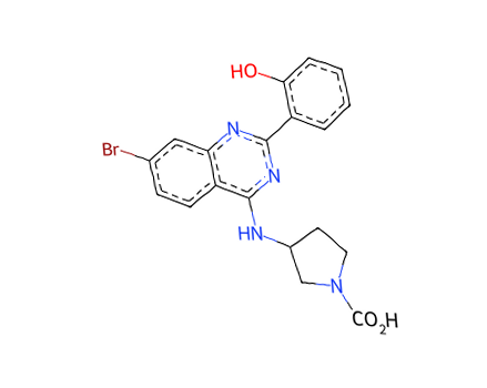 O=C(O)N1CCC(Nc2nc(-c3ccccc3O)nc3cc(Br)ccc23)C1